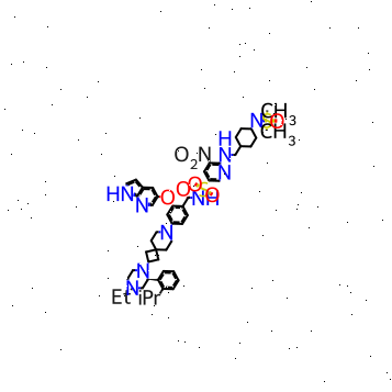 CCN1CCN(C2CC3(CCN(c4ccc(C(=O)NS(=O)(=O)c5cnc(NCC6CCC(N=S(C)(C)=O)CC6)c([N+](=O)[O-])c5)c(Oc5cnc6[nH]ccc6c5)c4)CC3)C2)[C@@H](c2ccccc2C(C)C)C1